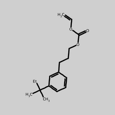 C=COC(=O)OCCCc1cccc(C(C)(C)CC)c1